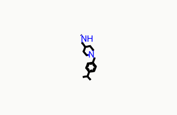 CNCC1CCN(Cc2ccc(C(C)C)cc2)CC1